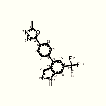 Cc1nnc(-c2ccc(-c3cc(C(F)(F)F)cc4[nH]ncc34)cc2)o1